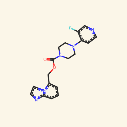 O=C(OCc1cccc2nccn12)N1CCN(c2ccncc2F)CC1